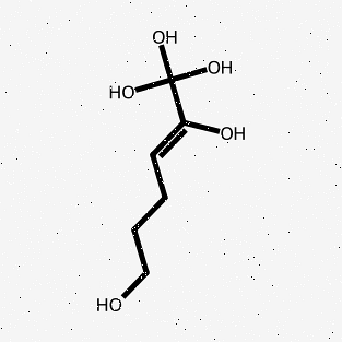 OCCCC=C(O)C(O)(O)O